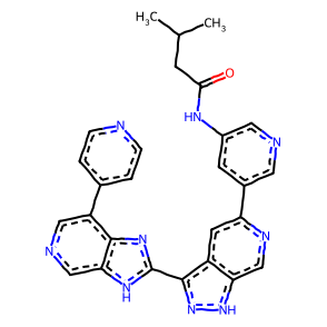 CC(C)CC(=O)Nc1cncc(-c2cc3c(-c4nc5c(-c6ccncc6)cncc5[nH]4)n[nH]c3cn2)c1